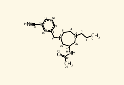 CCCN1CCN(Cc2cccc(C#N)c2)CC(NC(C)=O)C1